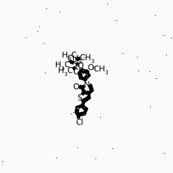 COc1cc(-n2ccc3cc(-c4ccc(Cl)cc4)sc3c2=O)ccc1O[Si](C(C)C)(C(C)C)C(C)C